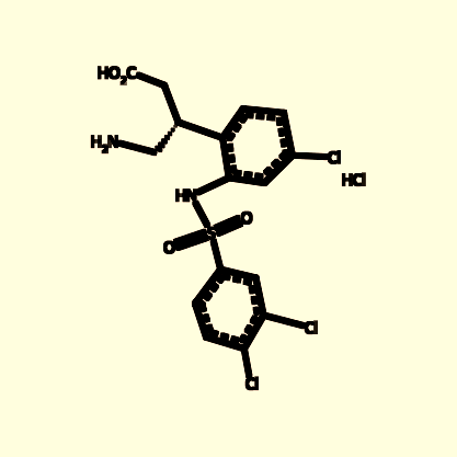 Cl.NC[C@H](CC(=O)O)c1ccc(Cl)cc1NS(=O)(=O)c1ccc(Cl)c(Cl)c1